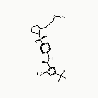 COCOCC1CCCN1S(=O)(=O)c1ccc(NC(=O)c2cc(C(F)(F)F)nn2C)cc1